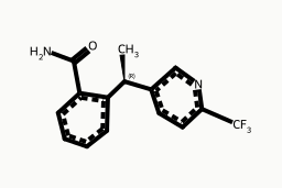 C[C@@H](c1ccc(C(F)(F)F)nc1)c1ccccc1C(N)=O